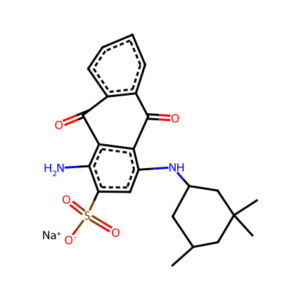 CC1CC(Nc2cc(S(=O)(=O)[O-])c(N)c3c2C(=O)c2ccccc2C3=O)CC(C)(C)C1.[Na+]